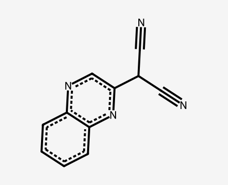 N#CC(C#N)c1cnc2ccccc2n1